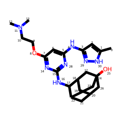 Cc1cc(Nc2cc(OCCN(C)C)nc(NC3C4CC5CC3CC(O)(C5)C4)n2)n[nH]1